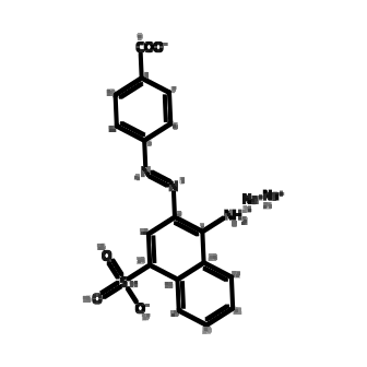 Nc1c(N=Nc2ccc(C(=O)[O-])cc2)cc(S(=O)(=O)[O-])c2ccccc12.[Na+].[Na+]